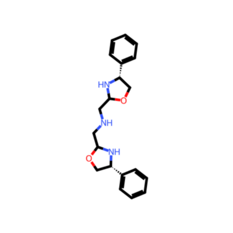 c1ccc([C@@H]2COC(CNCC3N[C@H](c4ccccc4)CO3)N2)cc1